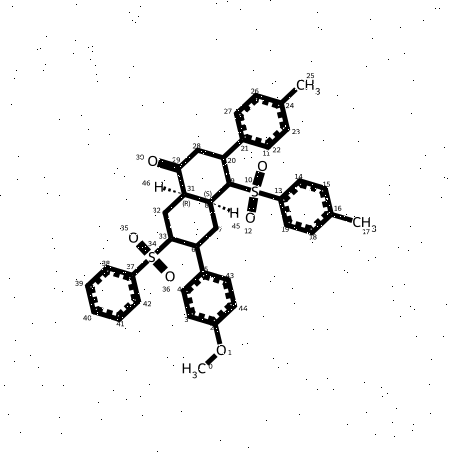 COc1ccc(C2C[C@@H]3C(S(=O)(=O)c4ccc(C)cc4)C(c4ccc(C)cc4)CC(=O)[C@@H]3CC2S(=O)(=O)c2ccccc2)cc1